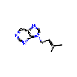 CC(C)=CCn1cnc2cncnc21